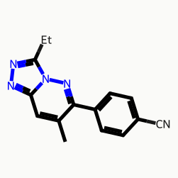 CCc1nnc2cc(C)c(-c3ccc(C#N)cc3)nn12